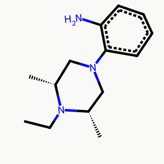 CCN1[C@H](C)CN(c2ccccc2N)C[C@@H]1C